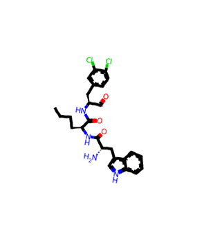 CCCC[C@H](NC(=O)[C@@H](N)Cc1c[nH]c2ccccc12)C(=O)N[C@H]([C]=O)Cc1ccc(Cl)c(Cl)c1